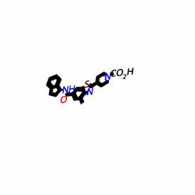 Cc1cc(C(=O)N[C@H]2CCc3ccccc32)cc2sc(C3CCN(C(=O)O)CC3)nc12